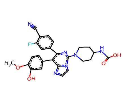 COc1ccc(-c2c(-c3ccc(C#N)c(F)c3)nc(N3CCC(NC(=O)O)CC3)n3ccnc23)cc1O